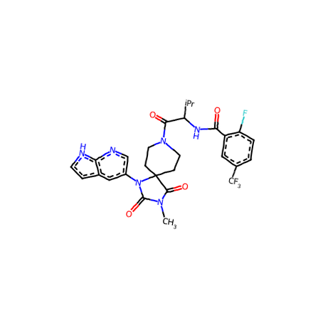 CC(C)C(NC(=O)c1cc(C(F)(F)F)ccc1F)C(=O)N1CCC2(CC1)C(=O)N(C)C(=O)N2c1cnc2[nH]ccc2c1